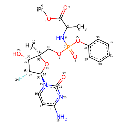 CC(C)OC(=O)C(C)NP(=O)(OC[C@@]1(C)O[C@@H](n2ccc(N)nc2=O)[C@H](F)[C@@H]1O)Oc1ccccc1